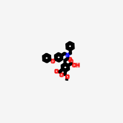 COC1OC(=O)c2cc(CC(=O)N(Cc3ccccc3)Cc3ccc(Oc4ccccc4)cc3)c(C(=O)O)cc21